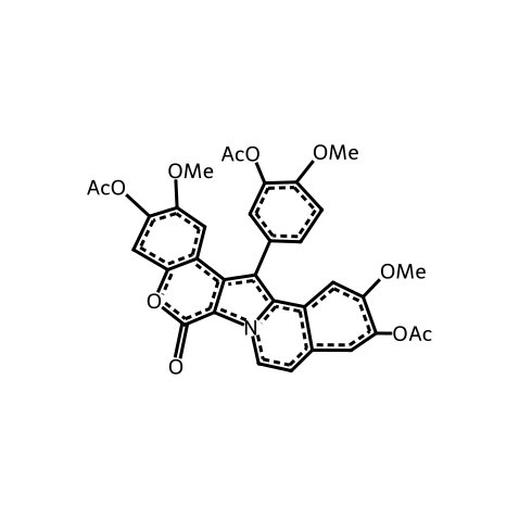 COc1ccc(-c2c3c4cc(OC)c(OC(C)=O)cc4oc(=O)c3n3ccc4cc(OC(C)=O)c(OC)cc4c23)cc1OC(C)=O